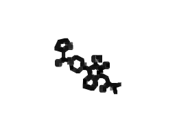 CN(C)C(=O)Cn1c(=O)c(C#N)c(N2CCN(C(=O)c3cccs3)CC2)c2ccccc21